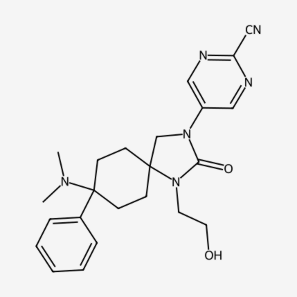 CN(C)C1(c2ccccc2)CCC2(CC1)CN(c1cnc(C#N)nc1)C(=O)N2CCO